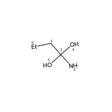 CCCC([NH])(O)O